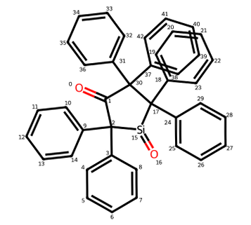 O=C1C(c2ccccc2)(c2ccccc2)[Si](=O)C(c2ccccc2)(c2ccccc2)C1(c1ccccc1)c1ccccc1